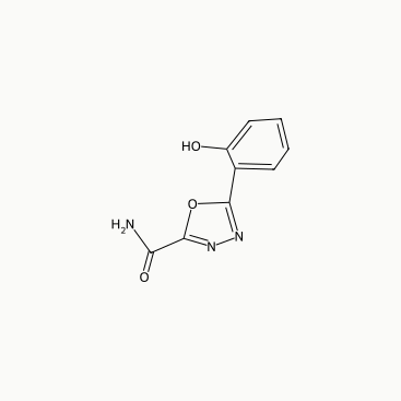 NC(=O)c1nnc(-c2ccccc2O)o1